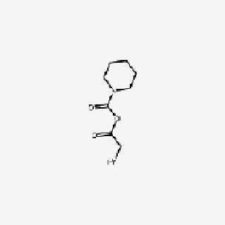 CC(C)CC(=O)OC(=O)N1CCCCC1